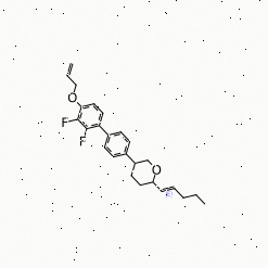 C=CCOc1ccc(-c2ccc(C3CCC(/C=C/CCC)OC3)cc2)c(F)c1F